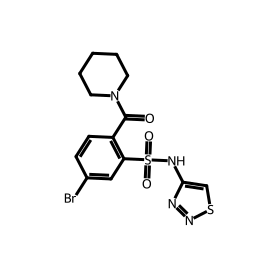 O=C(c1ccc(Br)cc1S(=O)(=O)Nc1csnn1)N1CCCCC1